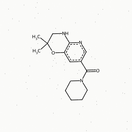 CC1(C)CNc2ncc(C(=O)N3CCCCC3)cc2O1